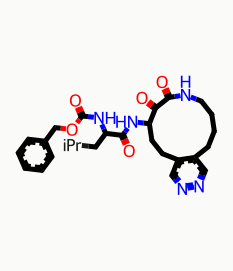 CC(C)CC(NC(=O)OCc1ccccc1)C(=O)NC1CCc2cnncc2CCCCNC(=O)C1=O